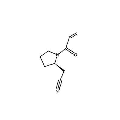 C=CC(=O)N1CCC[C@@H]1CC#N